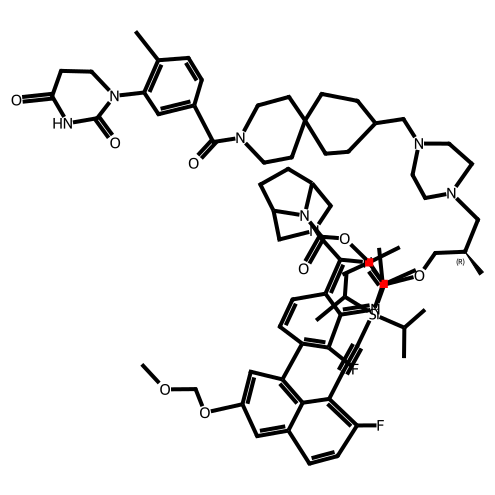 COCOc1cc(-c2ccc3c(N4CC5CCC(C4)N5C(=O)OC(C)(C)C)nc(OC[C@H](C)CN4CCN(CC5CCC6(CC5)CCN(C(=O)c5ccc(C)c(N7CCC(=O)NC7=O)c5)CC6)CC4)nc3c2F)c2c(C#C[Si](C(C)C)(C(C)C)C(C)C)c(F)ccc2c1